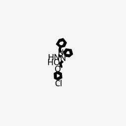 N=c1n(CC(O)COc2ccc(Cl)cc2)c2ccccc2n1CC1C=CC=CC1